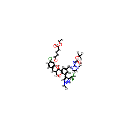 CCOC(=O)CCCCOc1cc(CC2COc3c(cc(Cn4ccn(C)c4=NC(=O)OC(C)(C)C)cc3-c3cn(CC)nc3C(F)(F)F)C2=O)ccc1Cl